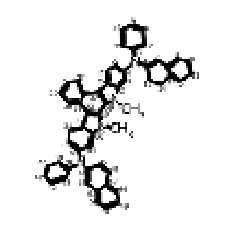 Cn1c2cc(N(C3=Cc4ccccc4CC3)c3ccccc3)ccc2c2c3ccccc3c3c4ccc(N(c5ccccc5)c5ccc6ccccc6c5)cc4n(C)c3c21